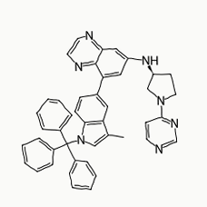 Cc1cn(C(c2ccccc2)(c2ccccc2)c2ccccc2)c2ccc(-c3cc(N[C@H]4CCN(c5ccncn5)C4)cc4nccnc34)cc12